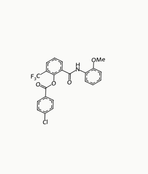 COc1ccccc1NC(=O)c1cccc(C(F)(F)F)c1OC(=O)c1ccc(Cl)cc1